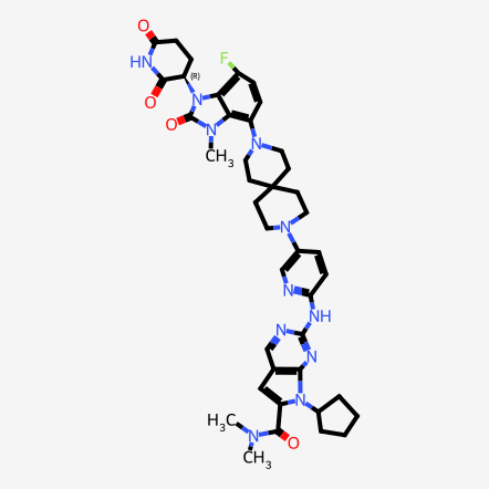 CN(C)C(=O)c1cc2cnc(Nc3ccc(N4CCC5(CC4)CCN(c4ccc(F)c6c4n(C)c(=O)n6[C@@H]4CCC(=O)NC4=O)CC5)cn3)nc2n1C1CCCC1